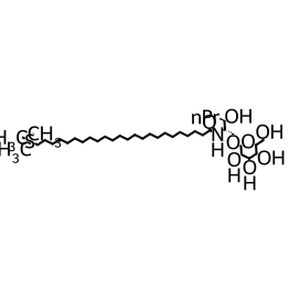 CCC[C@@H](O)[C@H](COC1OC(CO)C(O)C(O)C1O)NC(=O)CCCCCCCCCCCCCCCCCCCCCCCS(C)(C)C